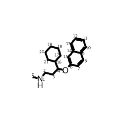 CNCCC(Oc1ccc2ccccc2c1)C1CCCCC1